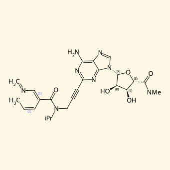 C=N/C=C(\C=C/C)C(=O)N(CC#Cc1nc(N)c2ncn([C@@H]3O[C@H](C(=O)NC)[C@@H](O)[C@H]3O)c2n1)C(C)C